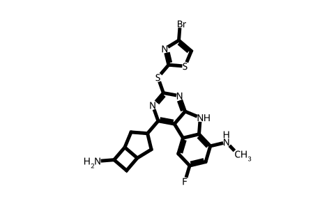 CNc1cc(F)cc2c1[nH]c1nc(Sc3nc(Br)cs3)nc(C3CC4CC(N)C4C3)c12